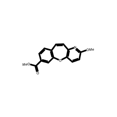 COC(=O)c1ccc2c(c1)Oc1ccc(OC)nc1C=C2